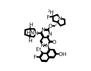 [2H][C@]1(F)CN2CCC[C@@]2(COc2nc(N3C[C@H]4CC[C@@H](C3)N4)c3cnn(-c4cc(O)cc5ccc(F)c(CC)c45)c(=O)c3n2)C1